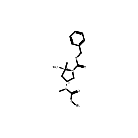 CN(C(=O)OC(C)(C)C)[C@H]1CN(C(=O)OCc2ccccc2)[C@](C)(C(=O)O)C1